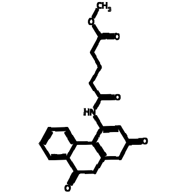 COC(=O)CCCC(=O)NC1=CC(=O)CC2=C1c1ccccc1C(=O)C2